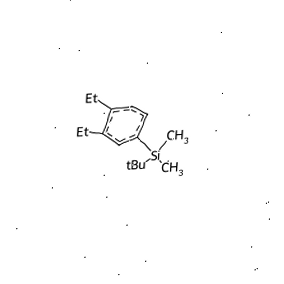 CCc1ccc([Si](C)(C)C(C)(C)C)cc1CC